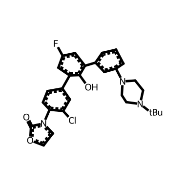 CC(C)(C)N1CCN(c2cccc(-c3cc(F)cc(-c4ccc(-n5ccoc5=O)c(Cl)c4)c3O)c2)CC1